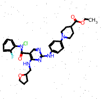 CCOC(=O)C1CCN(c2ccc(Nc3ncc(C(=O)N(Cl)c4ccccc4F)c(NCC4CCCO4)n3)cc2)CC1